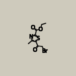 CCOC(=O)c1nc(C)c(C(=O)CBr)s1